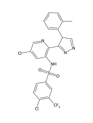 Cc1ccccc1C1C=NN=C1c1ncc(Cl)cc1NS(=O)(=O)c1ccc(Cl)c(C(F)(F)F)c1